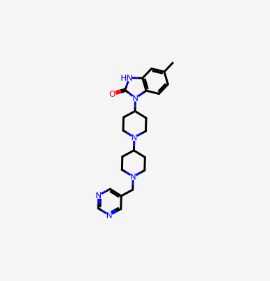 Cc1ccc2c(c1)[nH]c(=O)n2C1CCN(C2CCN(Cc3cncnc3)CC2)CC1